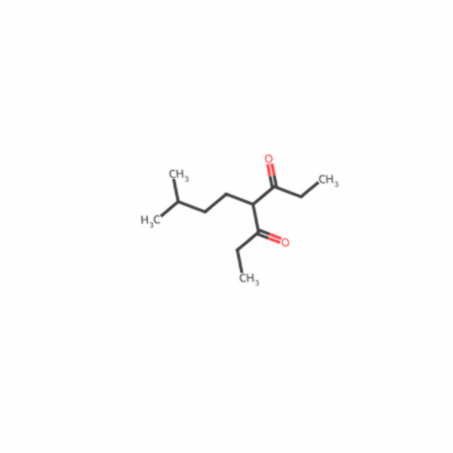 CCC(=O)C(CCC(C)C)C(=O)CC